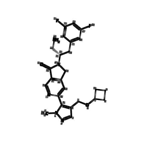 Cn1ncc(COC2CCC2)c1-c1cc2c(cn1)C(=O)N([C@H](CN)Cc1cc(F)cc(F)c1)C2